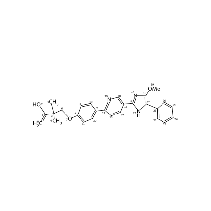 C=C(O)C(C)(C)COc1ccc(-c2ccc(-c3nc(OC)c(-c4ccccc4)[nH]3)cn2)cc1